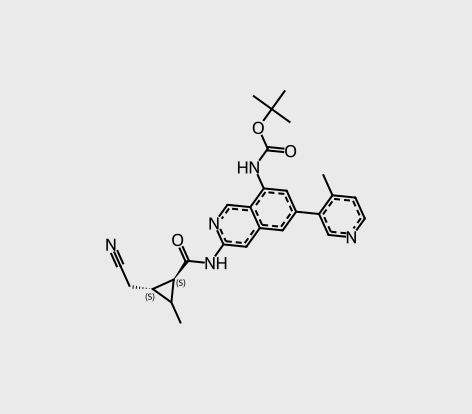 Cc1ccncc1-c1cc(NC(=O)OC(C)(C)C)c2cnc(NC(=O)[C@H]3C(C)[C@@H]3CC#N)cc2c1